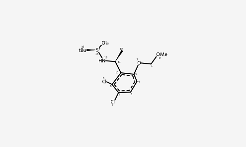 COCOc1ccc(Cl)c(Cl)c1[C@H](C)N[S@+]([O-])C(C)(C)C